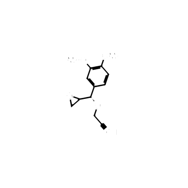 C#CCO[C@H](c1ccc(OC)c(OC)c1)C1CO1